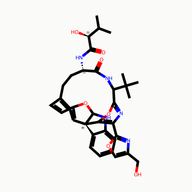 CC(C)[C@H](O)C(=O)N[C@H]1CCc2ccc3c(c2)[C@@]2(c4ccccc4NC2O3)c2oc(nc2-c2nc(CO)co2)C(C(C)(C)C)NC1=O